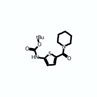 CC(C)(C)OC(=O)Nc1ccc(C(=O)N2CCCCC2)s1